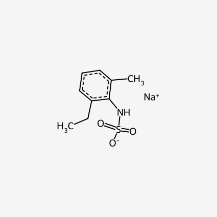 CCc1cccc(C)c1NS(=O)(=O)[O-].[Na+]